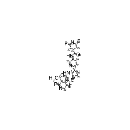 C[C@@H](OC(=O)Nc1c(-c2ccc(NC(=O)c3cc(F)nc(F)c3)cn2)ncn1C)c1cc(F)cnc1F